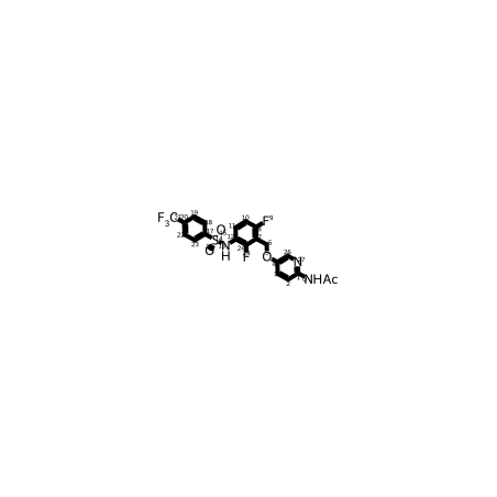 CC(=O)Nc1ccc(OCc2c(F)ccc(NS(=O)(=O)c3ccc(C(F)(F)F)cc3)c2F)cn1